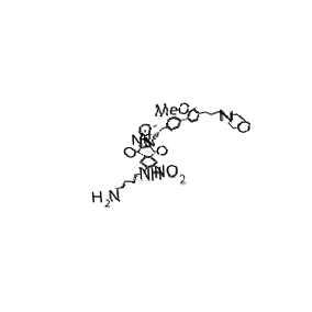 COc1cc(CCCN2CCOCC2)ccc1-c1ccc(CCn2c3c(n[n+]2[O-])C(=O)c2cc(NCCCCCN)c([N+](=O)[O-])cc2C3=O)cc1